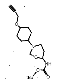 C#CCOC1CCC(N2CCC(NC(=O)OC(C)(C)C)CC2)CC1